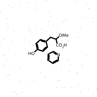 COC(Cc1ccc(O)cc1)C(=O)O.c1ccncc1